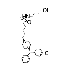 O=S(=O)(CCCCCN1CCN(C(c2ccccc2)c2ccc(Cl)cc2)CC1)NCCCCO